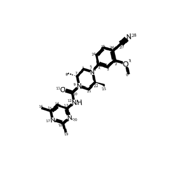 COc1cc(N2C[C@@H](C)N(C(=O)Nc3cc(C)nc(C)n3)C[C@@H]2C)ccc1C#N